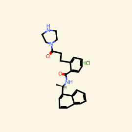 C[C@@H](NC(=O)c1ccccc1CCC(=O)N1CCNCC1)c1cccc2ccccc12.Cl